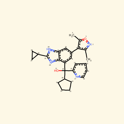 Cc1noc(C)c1-c1cc(C(O)(c2ccccn2)C2CCCC2)c2nc(C3CC3)[nH]c2c1